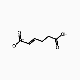 O=C(O)CCC=C[N+](=O)[O-]